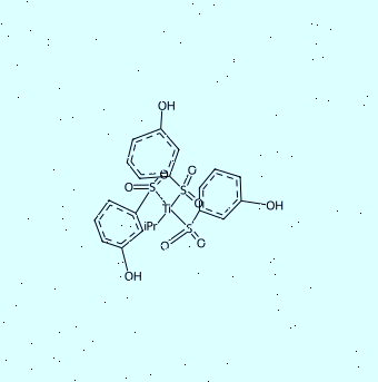 C[CH](C)[Ti]([S](=O)(=O)c1cccc(O)c1)([S](=O)(=O)c1cccc(O)c1)[S](=O)(=O)c1cccc(O)c1